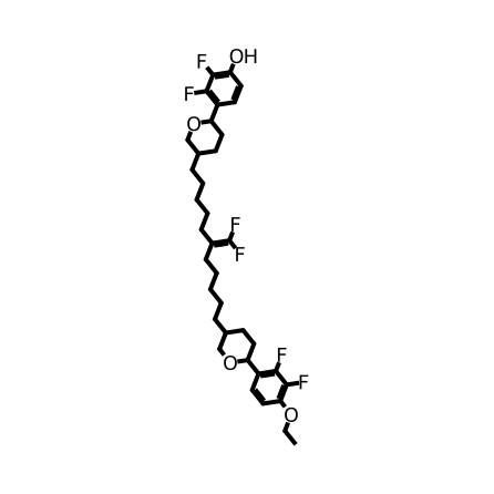 CCOc1ccc(C2CCC(CCCCCC(CCCCCC3CCC(c4ccc(O)c(F)c4F)OC3)=C(F)F)CO2)c(F)c1F